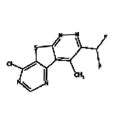 Cc1c(C(F)F)nnc2sc3c(Cl)ncnc3c12